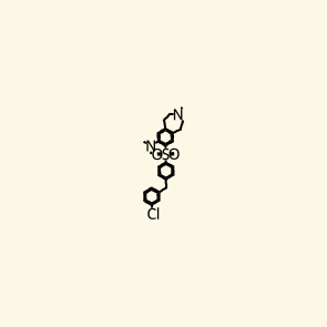 CN1CCc2cc(N(C)C)c(S(=O)(=O)c3ccc(Cc4cccc(Cl)c4)cc3)cc2CC1